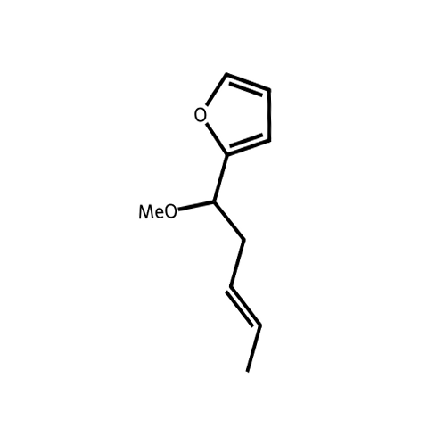 CC=CCC(OC)c1ccco1